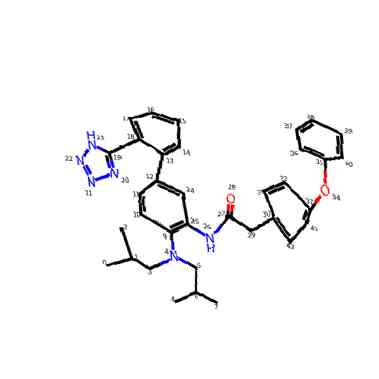 CC(C)CN(CC(C)C)c1ccc(-c2ccccc2-c2nnn[nH]2)cc1NC(=O)Cc1ccc(Oc2ccccc2)cc1